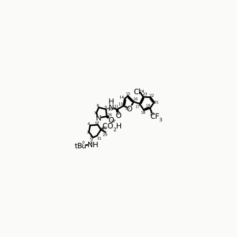 CC(C)(C)N[C@@H]1CC[C@H](N2CC[C@H](NC(=O)c3ccc(-c4cc(C(F)(F)F)ccc4Cl)o3)C2=O)[C@](C)(C(=O)O)C1